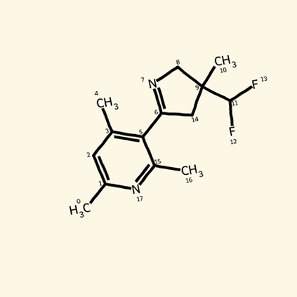 Cc1cc(C)c(C2=NCC(C)(C(F)F)C2)c(C)n1